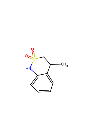 CC1CS(=O)(=O)Nc2ccccc21